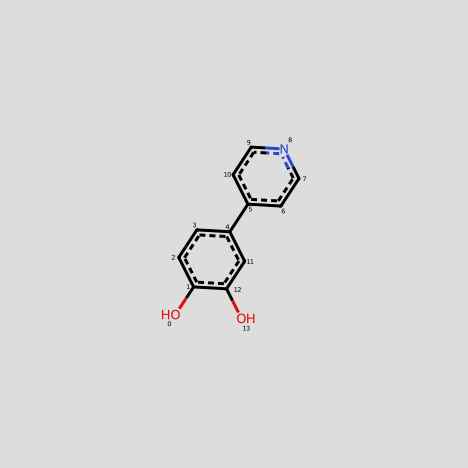 Oc1ccc(-c2ccncc2)cc1O